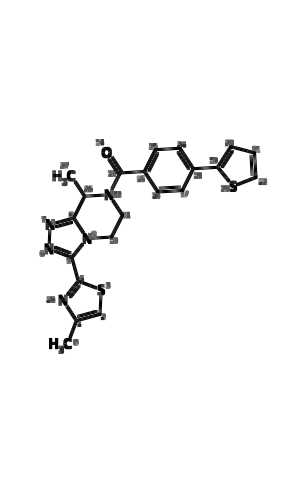 Cc1csc(-c2nnc3n2CCN(C(=O)c2ccc(-c4cccs4)cc2)C3C)n1